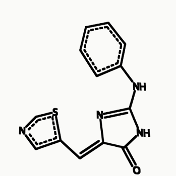 O=C1NC(Nc2ccccc2)=N/C1=C\c1cncs1